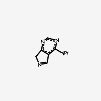 CC(C)c1ncnc2c1C=NC2